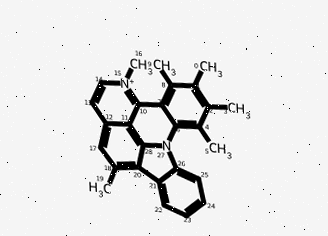 Cc1c(C)c(C)c2c(c1C)c1c3c(cc[n+]1C)cc(C)c1c4ccccc4n2c13